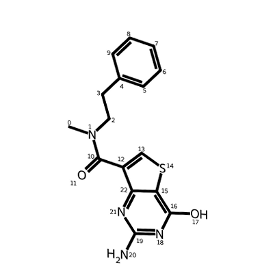 CN(CCc1ccccc1)C(=O)c1csc2c(O)nc(N)nc12